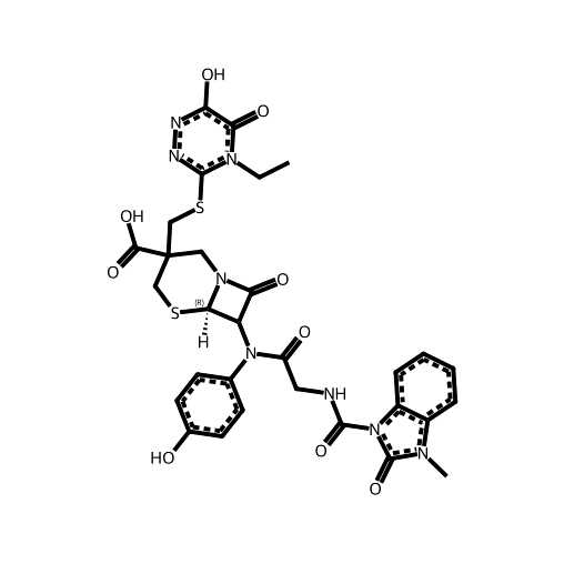 CCn1c(SCC2(C(=O)O)CS[C@@H]3C(N(C(=O)CNC(=O)n4c(=O)n(C)c5ccccc54)c4ccc(O)cc4)C(=O)N3C2)nnc(O)c1=O